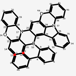 c1ccc(-c2ccccc2B2c3cccc4c3N(c3ccccc3O4)c3cc4c5c(c32)c2ccccc2n5-c2ccccc2O4)cc1